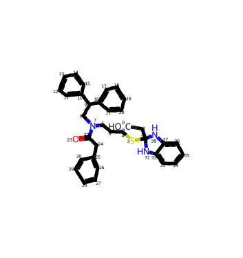 O=C(O)CC1(SCCCN(CC(c2ccccc2)c2ccccc2)C(=O)Cc2ccccc2)Nc2ccccc2N1